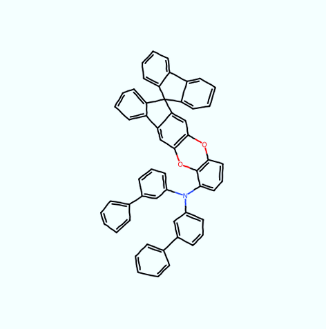 c1ccc(-c2cccc(N(c3cccc(-c4ccccc4)c3)c3cccc4c3Oc3cc5c(cc3O4)C3(c4ccccc4-c4ccccc43)c3ccccc3-5)c2)cc1